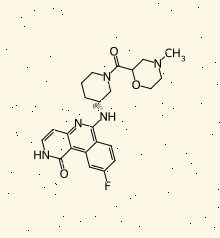 CN1CCOC(C(=O)N2CCC[C@@H](Nc3nc4cc[nH]c(=O)c4c4cc(F)ccc34)C2)C1